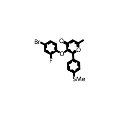 CSc1ccc(-c2oc(C)cc(=O)c2Oc2ccc(Br)cc2F)cc1